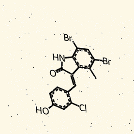 Cc1c(Br)cc(Br)c2c1C(=Cc1ccc(O)cc1Cl)C(=O)N2